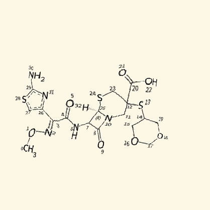 CON=C(C(=O)NC1C(=O)N2CC(SC3COCOC3)(C(=O)O)CS[C@H]12)c1csc(N)n1